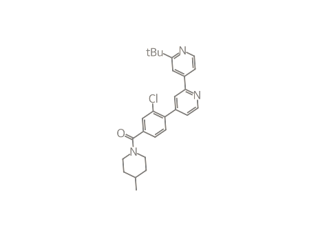 CC1CCN(C(=O)c2ccc(-c3ccnc(-c4ccnc(C(C)(C)C)c4)c3)c(Cl)c2)CC1